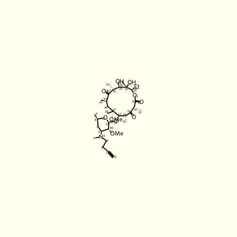 C#CCCN(C)[C@H]1C[C@@H](C)O[C@@H](O[C@@H]2[C@@H](C)C(=O)[C@@H](C)C(=O)O[C@H](CC)[C@@](C)(O)[C@H](O)[C@@H](C)C(=O)[C@H](C)C[C@@]2(C)OC)[C@@H]1OC